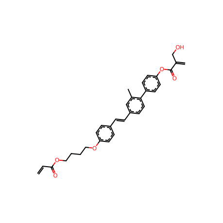 C=CC(=O)OCCCCOc1ccc(/C=C/c2ccc(-c3ccc(OC(=O)C(=C)CO)cc3)c(C)c2)cc1